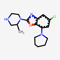 CC1CNCCN1c1nc2cc(Cl)cc(N3CCCCC3)c2o1